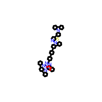 c1ccc(-c2nc(-c3ccc(-c4ccc(-c5ccc6c(c5)c5ccccc5n6-c5nccc6c5sc5ccc(-n7c8ccccc8c8ccccc87)cc56)cc4)cc3)nc(-n3c4ccccc4c4ccc5c6ccccc6n(-c6ccccc6)c5c43)n2)cc1